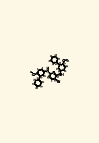 COc1ccc(Nc2ncc(Br)c(Nc3ccc(OC)c(-c4ccccc4)c3)n2)cc1-c1ccccc1